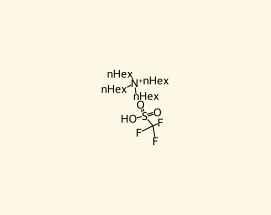 CCCCCC[N+](CCCCCC)(CCCCCC)CCCCCC.O=S(=O)(O)C(F)(F)F